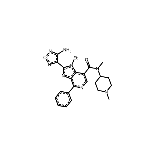 CCn1c(-c2nonc2N)nc2c(-c3ccccc3)ncc(C(=O)N(C)C3CCN(C)CC3)c21